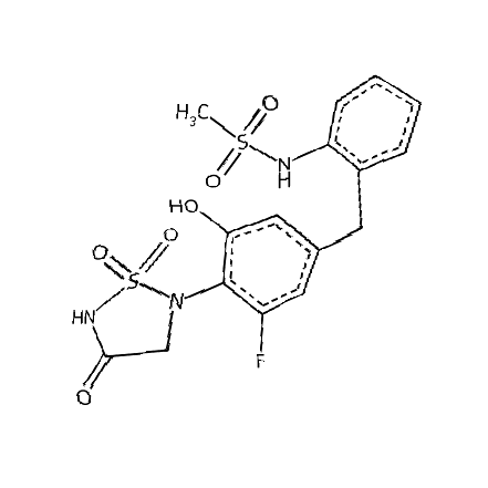 CS(=O)(=O)Nc1ccccc1Cc1cc(O)c(N2CC(=O)NS2(=O)=O)c(F)c1